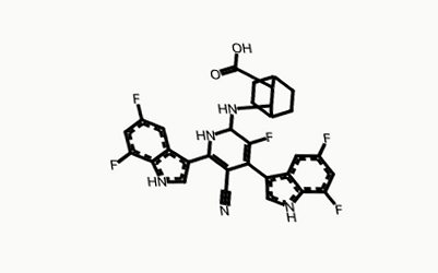 N#CC1=C(c2c[nH]c3c(F)cc(F)cc23)NC(NC2C3CCC(CC3)C2C(=O)O)C(F)=C1c1c[nH]c2c(F)cc(F)cc12